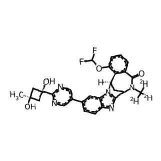 [2H]C([2H])([2H])N1C(=O)c2cccc(OC(F)F)c2[C@H]2CC1c1nc3ccc(-c4cnc([C@]5(O)C[C@@](C)(O)C5)nc4)cc3n12